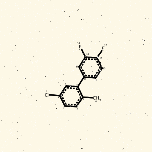 Cc1ccc(Cl)cc1-c1ccc(F)c(F)c1